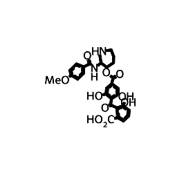 COc1ccc(C(=O)NC2CNCCCC2OC(=O)c2cc(O)c(C(=O)c3c(O)cccc3C(=O)O)c(O)c2)cc1